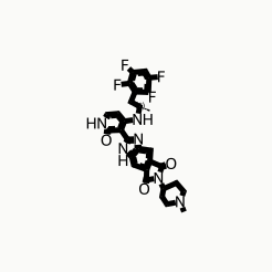 C[C@@H](Cc1c(F)c(F)cc(F)c1F)Nc1cc[nH]c(=O)c1-c1nc2cc3c(cc2[nH]1)C(=O)N(C1CCN(C)CC1)C3=O